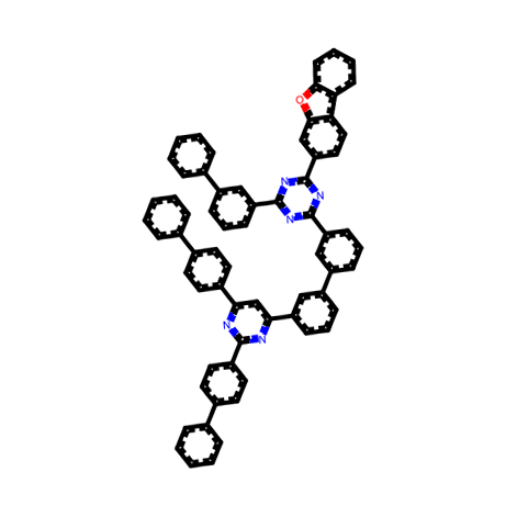 c1ccc(-c2ccc(-c3cc(-c4cccc(-c5cccc(-c6nc(-c7cccc(-c8ccccc8)c7)nc(-c7ccc8c(c7)oc7ccccc78)n6)c5)c4)nc(-c4ccc(-c5ccccc5)cc4)n3)cc2)cc1